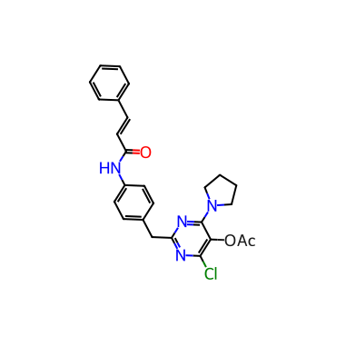 CC(=O)Oc1c(Cl)nc(Cc2ccc(NC(=O)/C=C/c3ccccc3)cc2)nc1N1CCCC1